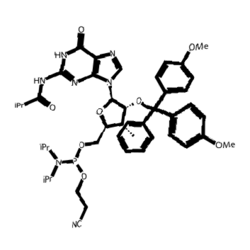 COc1ccc(C(O[C@@H]2[C@H](C)[C@@H](COP(OCCC#N)N(C(C)C)C(C)C)O[C@H]2n2cnc3c(=O)[nH]c(NC(=O)C(C)C)nc32)(c2ccccc2)c2ccc(OC)cc2)cc1